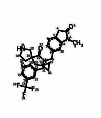 CN1C(=O)Cc2ccc(CN(Cc3cncc(C(F)(F)F)c3)C(=O)C3(CC4CC4)CCNC3)cc21